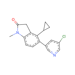 CN1C(=O)Cc2c1ccc(-c1cncc(Cl)c1)c2C1CC1